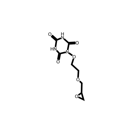 O=c1[nH]c(=O)n(OCCOCC2CO2)c(=O)[nH]1